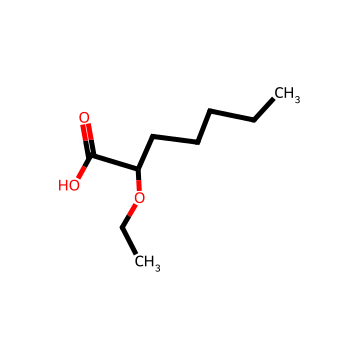 CCCCCC(OCC)C(=O)O